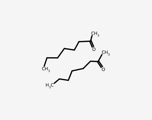 CCCCCCC(C)=O.CCCCCCC(C)=O